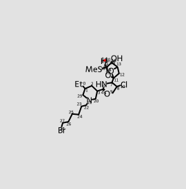 CCC1CC(C(=O)NC(C(C)Cl)C23CC(O2)[C@H](O)[C@@H](SC)O3)CN(CCCCCCBr)C1